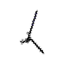 CC/C=C/C/C=C/C/C=C/C/C=C/CCCCCCC(=O)OC[C@H](COP(=O)([O-])OCC[N+](C)(C)C)OC(=O)CCCCCCCCCCCCCCC